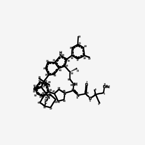 CC(=O)OCC(C)(C)OC(=O)/N=C(\NC[C@@H](C)c1c(-c2cc(C)cc(C)c2)[nH]c2ccc(C(C)(C)C(=O)N3CC4CCC3CC4)cc12)N1CCC(c2ccncc2)C1